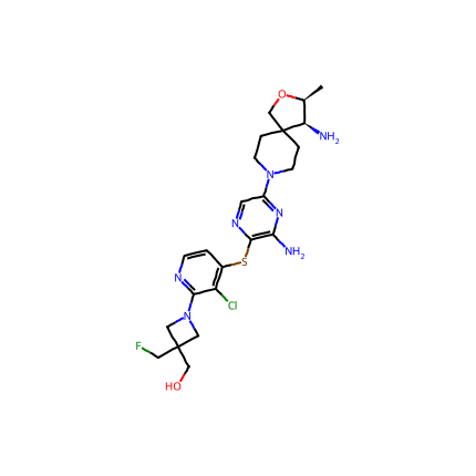 C[C@@H]1OCC2(CCN(c3cnc(Sc4ccnc(N5CC(CO)(CF)C5)c4Cl)c(N)n3)CC2)[C@@H]1N